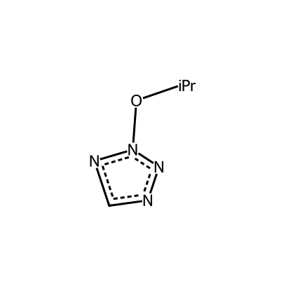 CC(C)On1ncnn1